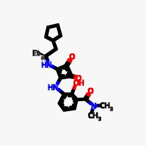 CC[C@H](CC1CCCC1)Nc1c(Nc2cccc(C(=O)N(C)C)c2O)c(=O)c1=O